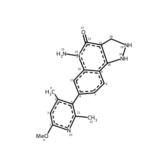 COc1cc(C)c(-c2ccc3c4c(c(=O)n(N)c3c2)CNN4)c(C)n1